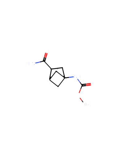 CC(C)(C)OC(=O)NC12CC(C1)C(C(N)=O)C2